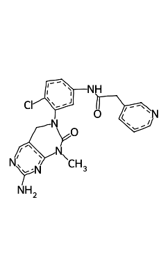 CN1C(=O)N(c2cc(NC(=O)Cc3cccnc3)ccc2Cl)Cc2cnc(N)nc21